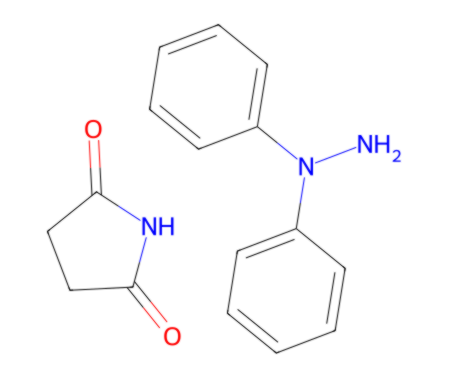 NN(c1ccccc1)c1ccccc1.O=C1CCC(=O)N1